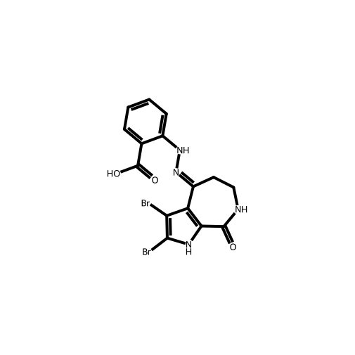 O=C(O)c1ccccc1N/N=C1\CCNC(=O)c2[nH]c(Br)c(Br)c21